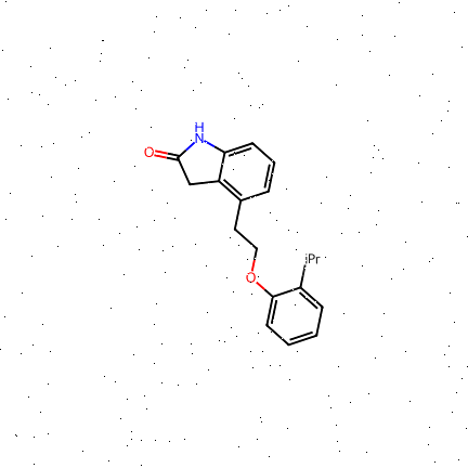 CC(C)c1ccccc1OCCc1cccc2c1CC(=O)N2